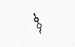 C#Cc1ccc(C2CCC(C=CC)CC2)cc1